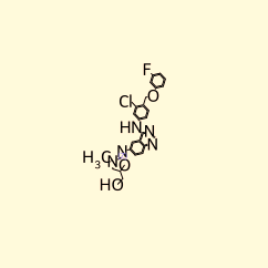 CN1CC(CO)O/C1=N\c1ccc2ncnc(Nc3ccc(COc4cccc(F)c4)c(Cl)c3)c2c1